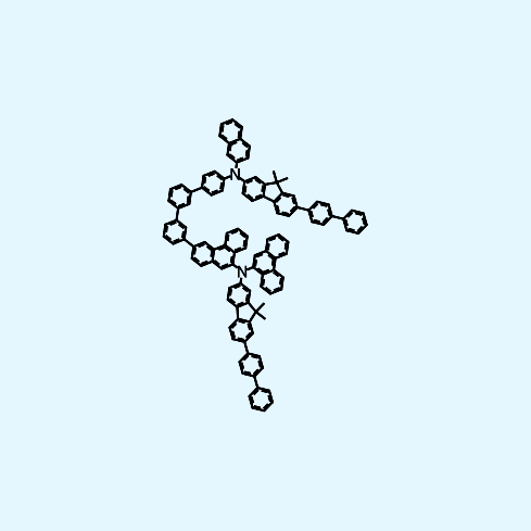 CC1(C)c2cc(-c3ccc(-c4ccccc4)cc3)ccc2-c2ccc(N(c3ccc(-c4cccc(-c5cccc(-c6ccc7cc(N(c8ccc9c(c8)C(C)(C)c8cc(-c%10ccc(-c%11ccccc%11)cc%10)ccc8-9)c8cc9ccccc9c9ccccc89)c8ccccc8c7c6)c5)c4)cc3)c3ccc4ccccc4c3)cc21